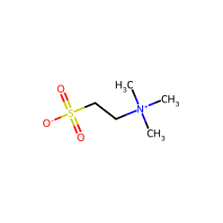 C[N+](C)(C)CCS(=O)(=O)[O-]